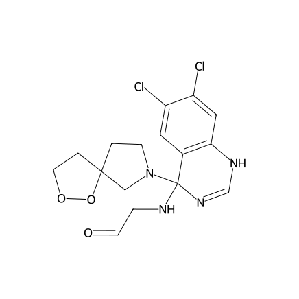 O=CCNC1(N2CCC3(CCOO3)C2)N=CNc2cc(Cl)c(Cl)cc21